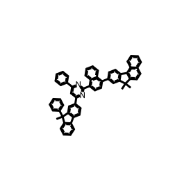 CC1(C)c2cc(-c3ccc(-c4nc(-c5ccccc5)cc(-c5ccc6c(c5)C(C)(c5ccccc5)c5ccccc5-6)n4)c4ccccc34)ccc2-c2c1ccc1ccccc21